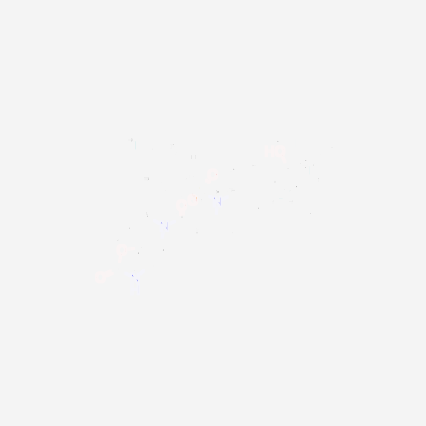 O=C1NCC2(CCN(C(=O)CC3CCc4cc(C(O)(C(F)(F)F)C(F)(F)F)ccc4N3S(=O)(=O)c3ccc(F)cc3)C2)O1